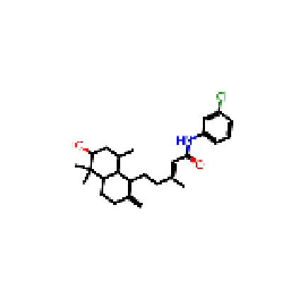 C=C1CCC2C(C(C)CC(O)C2(C)C)C1CCC(C)=CC(=O)Nc1cccc(Cl)c1